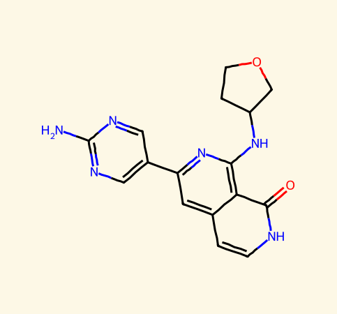 Nc1ncc(-c2cc3cc[nH]c(=O)c3c(NC3CCOC3)n2)cn1